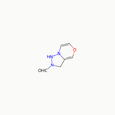 O=CN1CC2=COC=CN2N1